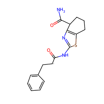 NC(=O)C1CCCc2sc(NC(=O)[CH]Cc3ccccc3)nc21